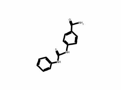 NC(=O)c1ccc(NC(=S)Nc2ccccc2)cc1